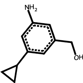 Nc1cc(CO)cc(C2CC2)c1